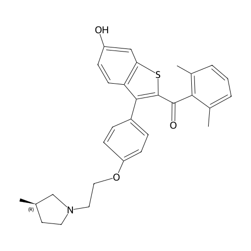 Cc1cccc(C)c1C(=O)c1sc2cc(O)ccc2c1-c1ccc(OCCN2CC[C@@H](C)C2)cc1